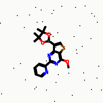 COc1nc(-c2ccccn2)nc2c(B3OC(C)(C)C(C)(C)O3)csc12